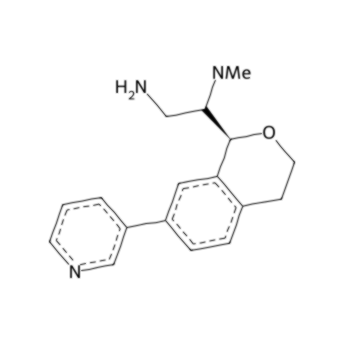 CNC(CN)[C@H]1OCCc2ccc(-c3cccnc3)cc21